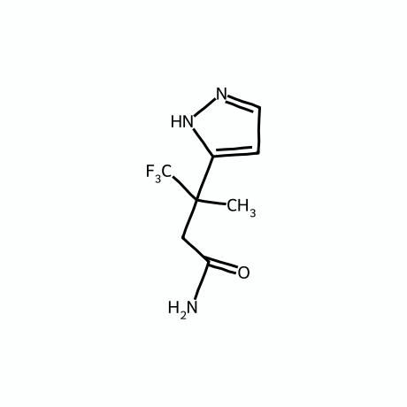 CC(CC(N)=O)(c1ccn[nH]1)C(F)(F)F